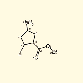 CCOC(=O)C1CC(N)CC1C